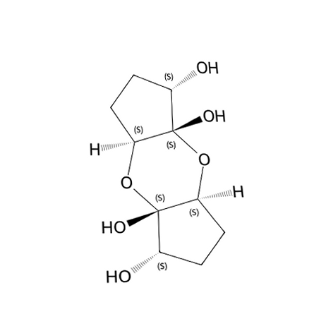 O[C@H]1CC[C@@H]2O[C@]3(O)[C@H](CC[C@@H]3O)O[C@]21O